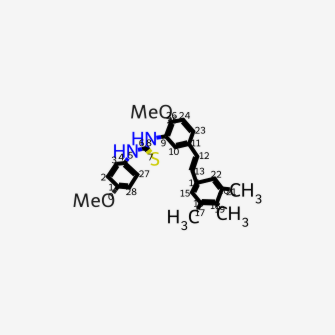 COc1ccc(NC(=S)Nc2cc(C=Cc3cc(C)c(C)c(C)c3)ccc2OC)cc1